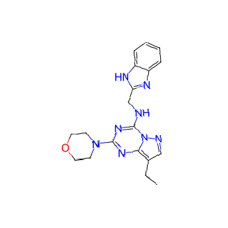 CCc1cnn2c(NCc3nc4ccccc4[nH]3)nc(N3CCOCC3)nc12